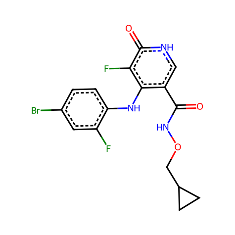 O=C(NOCC1CC1)c1c[nH]c(=O)c(F)c1Nc1ccc(Br)cc1F